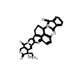 CC[C@@]1(O)C(=O)OCc2c1cc1n(c2=O)Cc2c-1nc1ccc(F)c3c1c2CCC3N1C(=O)c2ccccc2C1=O